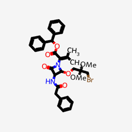 COC(CBr)(COC1C(NC(=O)Cc2ccccc2)C(=O)N1C(C(=O)OC(c1ccccc1)c1ccccc1)=C(C)C)OC